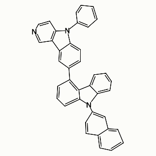 c1ccc(-n2c3ccncc3c3cc(-c4cccc5c4c4ccccc4n5-c4ccc5ccccc5c4)ccc32)cc1